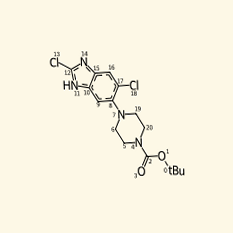 CC(C)(C)OC(=O)N1CCN(c2cc3[nH]c(Cl)nc3cc2Cl)CC1